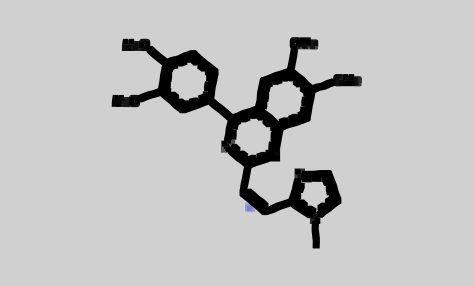 COc1ccc(-c2nc(/C=C\c3nccn3C)nc3cc(OC)c(OC)cc23)cc1OC